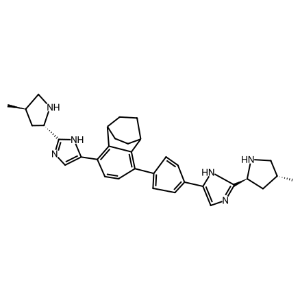 C[C@H]1CN[C@H](c2ncc(-c3ccc(-c4ccc(-c5cnc([C@@H]6C[C@@H](C)CN6)[nH]5)c5c4C4CCC5CC4)cc3)[nH]2)C1